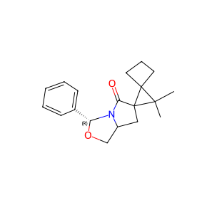 CC1(C)C2(CCC2)C12CC1CO[C@H](c3ccccc3)N1C2=O